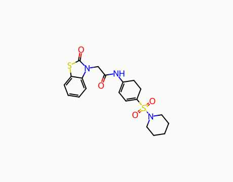 O=C(Cn1c(=O)sc2ccccc21)NC1=CC=C(S(=O)(=O)N2CCCCC2)CC1